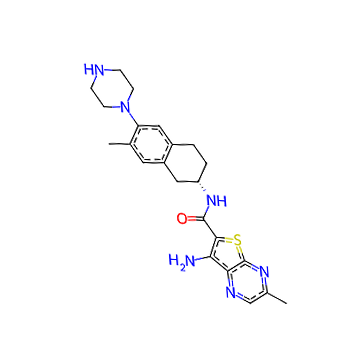 Cc1cnc2c(N)c(C(=O)N[C@H]3CCc4cc(N5CCNCC5)c(C)cc4C3)sc2n1